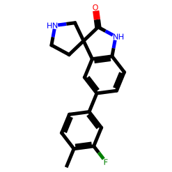 Cc1ccc(-c2ccc3c(c2)C2(CCNC2)C(=O)N3)cc1F